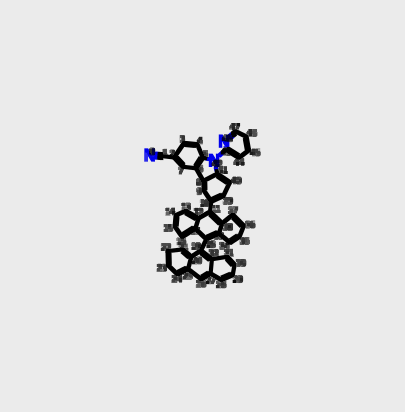 N#Cc1ccc2c(c1)c1cc(-c3c4ccccc4c(-c4c5ccccc5cc5ccccc45)c4ccccc34)ccc1n2-c1ccccn1